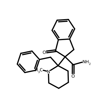 CN1CCCCC1(Cc1ccccc1)C1(C(N)=O)Cc2ccccc2C1=O